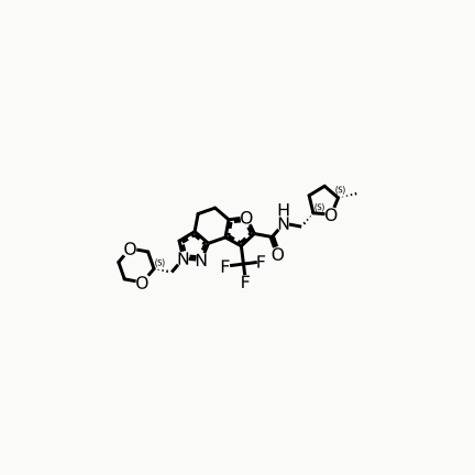 C[C@H]1CC[C@@H](CNC(=O)c2oc3c(c2C(F)(F)F)-c2nn(C[C@H]4COCCO4)cc2CC3)O1